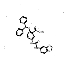 COC(=O)c1cc(NC(=O)Nc2ccc3c(c2)OCO3)ccc1OC(c1ccccc1)c1ccccc1